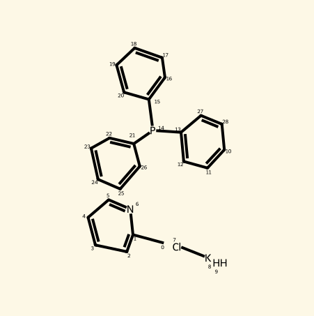 Cc1ccccn1.[Cl][K].[HH].c1ccc(P(c2ccccc2)c2ccccc2)cc1